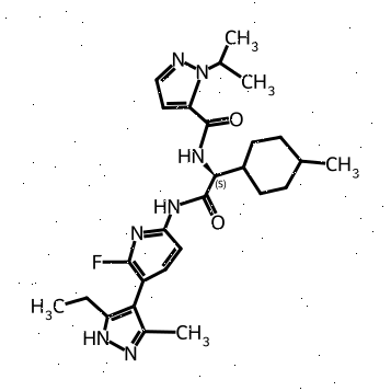 CCc1[nH]nc(C)c1-c1ccc(NC(=O)[C@@H](NC(=O)c2ccnn2C(C)C)C2CCC(C)CC2)nc1F